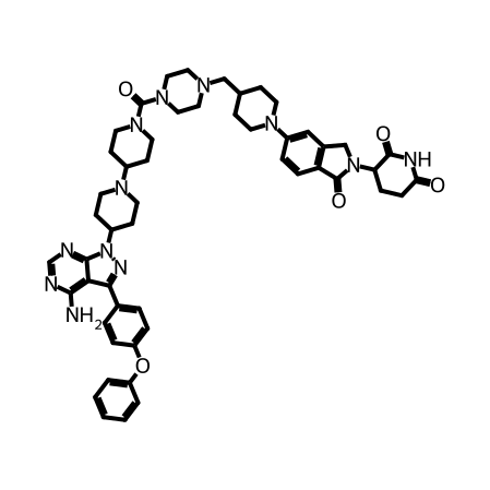 Nc1ncnc2c1c(-c1ccc(Oc3ccccc3)cc1)nn2C1CCN(C2CCN(C(=O)N3CCN(CC4CCN(c5ccc6c(c5)CN(C5CCC(=O)NC5=O)C6=O)CC4)CC3)CC2)CC1